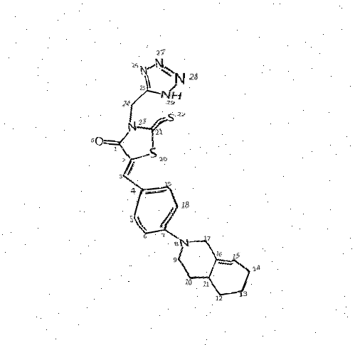 O=C1C(=Cc2ccc(N3CCC4CCCC=C4C3)cc2)SC(=S)N1Cc1nnn[nH]1